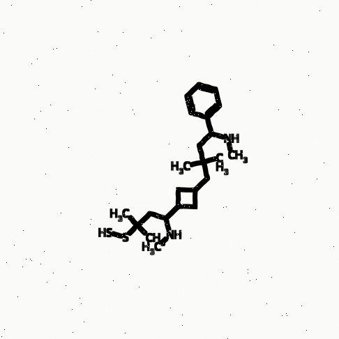 CNC(CC(C)(C)CC1CC(C(CC(C)(C)SS)NC)C1)c1ccccc1